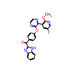 COc1ncc(F)cc1-c1nccnc1Oc1ccc(C(=O)c2nc3ccccc3[nH]2)cc1